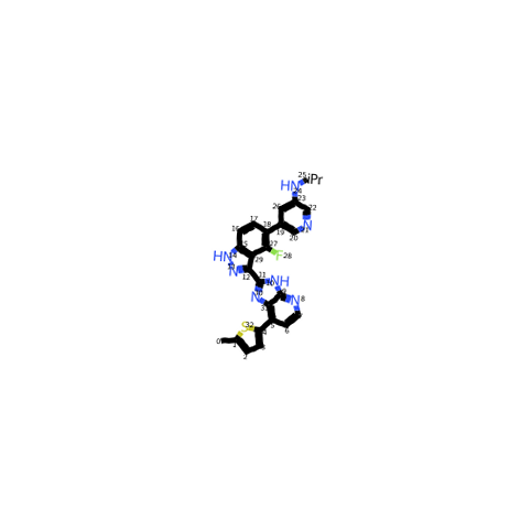 Cc1ccc(-c2ccnc3[nH]c(-c4n[nH]c5ccc(-c6cncc(NC(C)C)c6)c(F)c45)nc23)s1